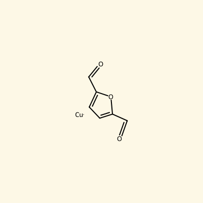 O=Cc1ccc(C=O)o1.[Cu]